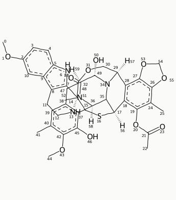 COc1ccc2[nH]c3c(c2c1)CCN[C@]31CS[C@@H]2c3c(OC(C)=O)c(C)c4c(c3[C@H](COC1=O)N1C2[C@H]2c3c(cc(C)c(OC)c3O)C[C@@H]([C@@H]1O)N2C)OCO4